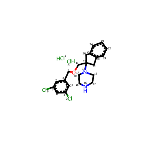 Cl.Cl.Clc1cc(Cl)cc(COCC2(N3CCNCC3)Cc3ccccc3C2)c1